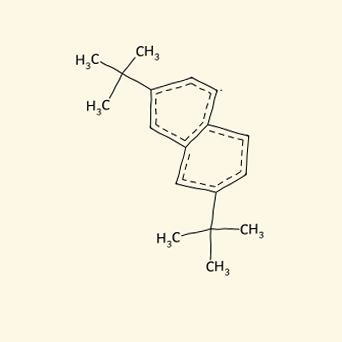 CC(C)(C)c1c[c]c2ccc(C(C)(C)C)cc2c1